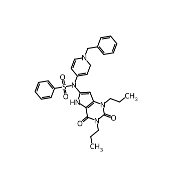 CCCn1c(=O)c2[nH]c(N(C3=CCN(Cc4ccccc4)C=C3)S(=O)(=O)c3ccccc3)cc2n(CCC)c1=O